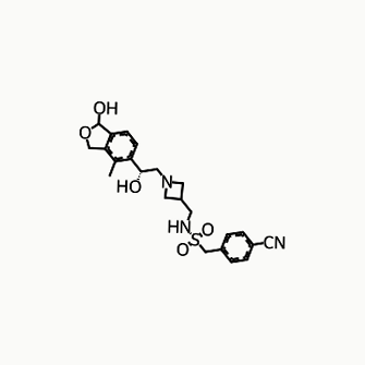 Cc1c([C@@H](O)CN2CC(CNS(=O)(=O)Cc3ccc(C#N)cc3)C2)ccc2c1COC2O